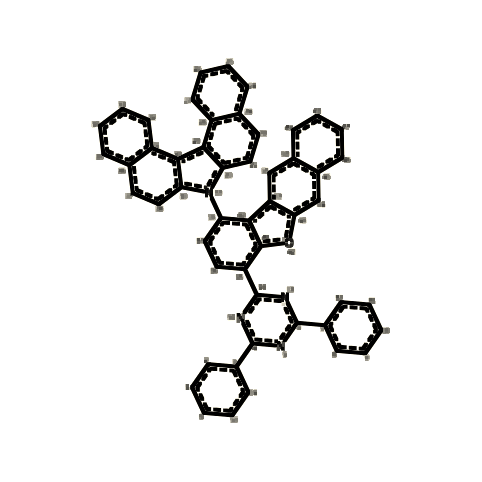 c1ccc(-c2nc(-c3ccccc3)nc(-c3ccc(-n4c5ccc6ccccc6c5c5c6ccccc6ccc54)c4c3oc3cc5ccccc5cc34)n2)cc1